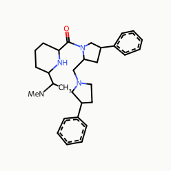 CNC(C)C1CCCC(C(=O)N2CC(c3ccccc3)CC2CN2CCC(c3ccccc3)C2)N1